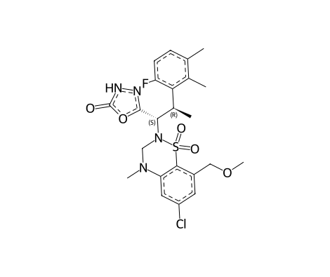 COCc1cc(Cl)cc2c1S(=O)(=O)N([C@H](c1n[nH]c(=O)o1)[C@H](C)c1c(F)ccc(C)c1C)CN2C